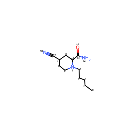 CCCCCN1CC[C](C#N)CC1C(N)=O